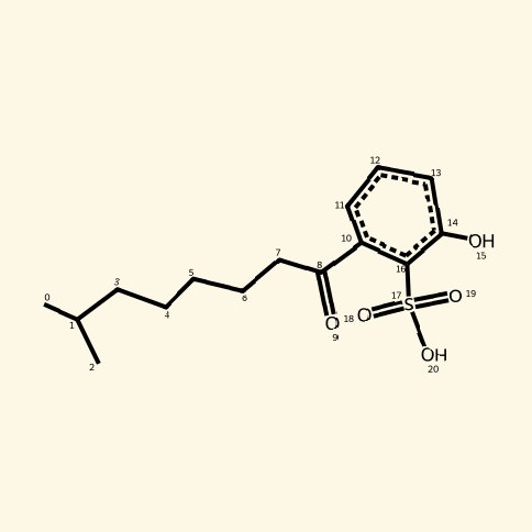 CC(C)CCCCCC(=O)c1cccc(O)c1S(=O)(=O)O